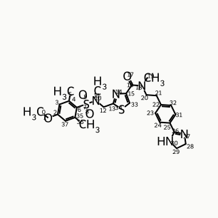 COc1cc(C)c(S(=O)(=O)N(C)Cc2nc(C(=O)N(C)CCc3ccc(C4=NCCN4)cc3)cs2)c(C)c1